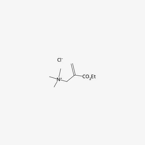 C=C(C[N+](C)(C)C)C(=O)OCC.[Cl-]